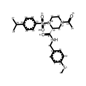 CSc1ccc(CNC(=O)[C@H]2CN(C(C)=O)CCN2S(=O)(=O)c2ccc(C(C)C)cc2)cc1